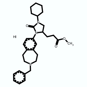 COC(=O)CCC1CN(C2CCCCC2)C(=O)N1c1ccc2c(c1)CCN(Cc1ccccc1)CC2.I